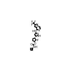 O=C(NC12CC(C1)C2)O[C@@H]1CC[C@H](c2cc(Nc3nccn4nc(C(F)(F)F)cc34)n[nH]2)[C@@H]1F